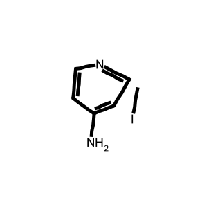 CI.Nc1ccncc1